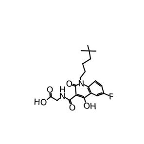 CC(C)(C)CCCCn1c(=O)c(C(=O)NCC(=O)O)c(O)c2cc(F)ccc21